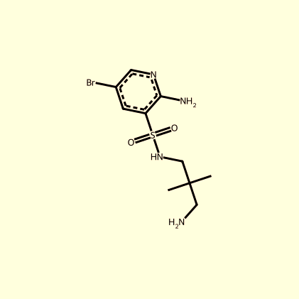 CC(C)(CN)CNS(=O)(=O)c1cc(Br)cnc1N